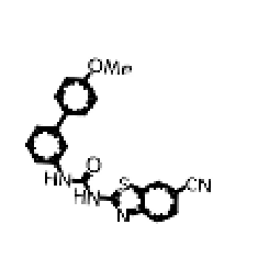 COc1ccc(-c2cccc(NC(=O)Nc3nc4ccc(C#N)cc4s3)c2)cc1